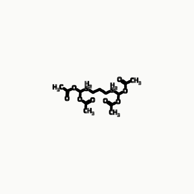 CC(=O)OC(OC(C)=O)[SiH2]CCC[SiH2]C(OC(C)=O)OC(C)=O